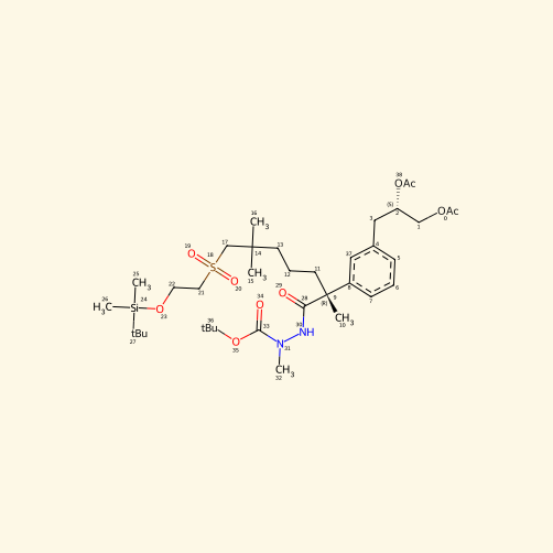 CC(=O)OC[C@H](Cc1cccc([C@@](C)(CCCC(C)(C)CS(=O)(=O)CCO[Si](C)(C)C(C)(C)C)C(=O)NN(C)C(=O)OC(C)(C)C)c1)OC(C)=O